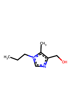 CCCn1cnc(CO)c1C